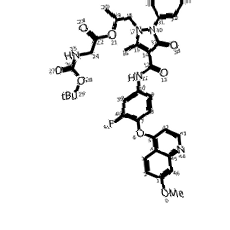 COc1ccc2c(Oc3ccc(NC(=O)c4c(C)n(CC(C)OC(=O)CNC(=O)OC(C)(C)C)n(-c5ccccc5)c4=O)cc3F)ccnc2c1